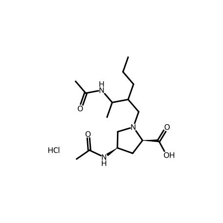 CCCC(CN1C[C@H](NC(C)=O)C[C@@H]1C(=O)O)C(C)NC(C)=O.Cl